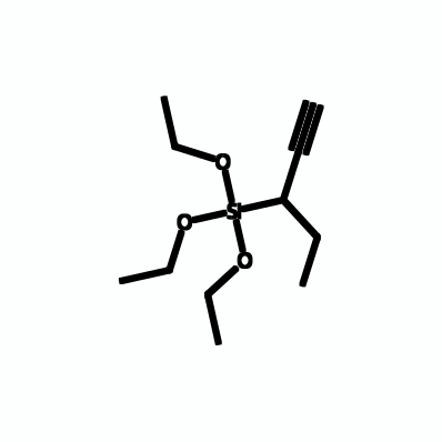 C#CC(CC)[Si](OCC)(OCC)OCC